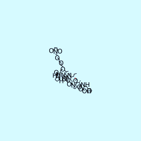 CC[C@H](C)[C@@H]([C@@H](CC(=O)N1CCCC1[C@H](OC)[C@@H](C)C(=O)NC(Cc1ccccc1)C(=O)O)OC)N(C)C(=O)C(NC(=O)[C@@H]1[C@H]2CC[C@H](C2)N1C(=O)CCOCCOCCOCCN1C(=O)C=CC1=O)C(C)C